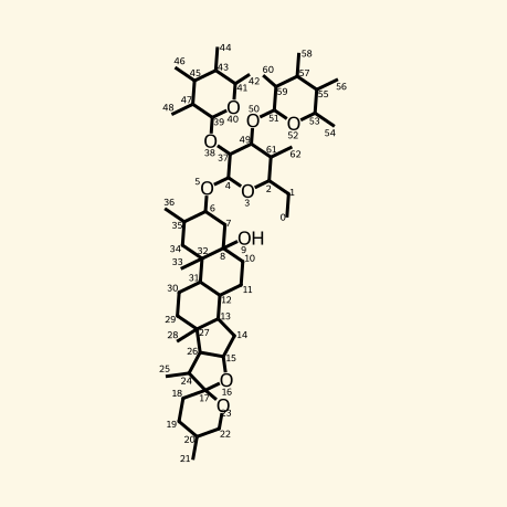 CCC1OC(OC2CC3(O)CCC4C5CC6OC7(CCC(C)CO7)C(C)C6C5(C)CCC4C3(C)CC2C)C(OC2OC(C)C(C)C(C)C2C)C(OC2OC(C)C(C)C(C)C2C)C1C